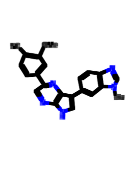 COc1cc(-c2cnc3[nH]cc(-c4ccc5ncn(C(C)(C)C)c5c4)c3n2)ccc1C#N